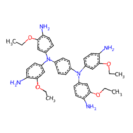 CCOc1cc(N(c2ccc(N(c3ccc(N)c(OCC)c3)c3ccc(N)c(OCC)c3)cc2)c2ccc(N)c(OCC)c2)ccc1N